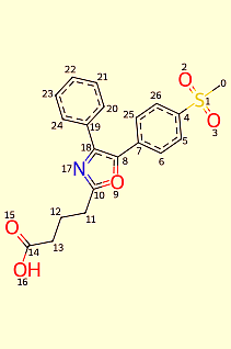 CS(=O)(=O)c1ccc(-c2oc(CCCC(=O)O)nc2-c2ccccc2)cc1